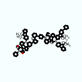 CC1(C)c2ccccc2-c2ccc(N(c3cccc(-c4cccc5c4sc4cccc(-c6ccc(N7c8ccccc8C8(c9ccccc9-c9c(N(c%10ccc%11c(c%10)C(C)(C)c%10ccccc%10-%11)c%10ccc%11c(c%10)C(C)(C)c%10cc(-c%12ccccc%12)ccc%10-%11)cccc98)c8ccccc87)cc6)c45)c3)c3cccc4c3-c3ccccc3C43c4ccccc4N(c4ccccc4)c4ccccc43)cc21